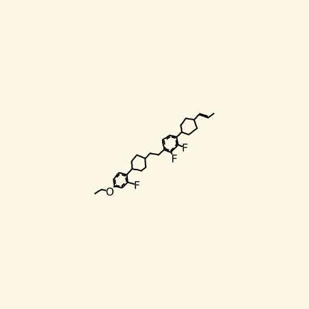 C/C=C/C1CCC(c2ccc(CCC3CCC(c4ccc(OCC)cc4F)CC3)c(F)c2F)CC1